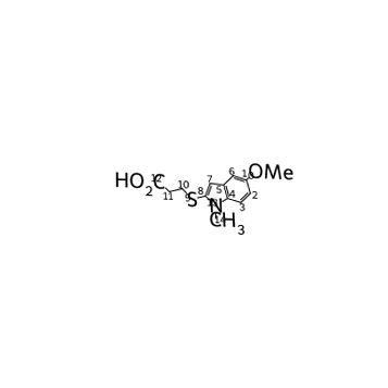 COc1ccc2c(c1)cc(SCCC(=O)O)n2C